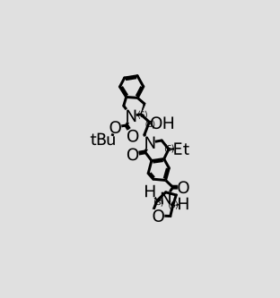 CC[C@@H]1CN(C[C@H](O)[C@@H]2Cc3ccccc3CN2C(=O)OC(C)(C)C)C(=O)c2ccc(C(=O)N3[C@H]4CC[C@H]3COC4)cc21